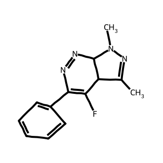 CC1=NN(C)C2N=NC(c3ccccc3)=C(F)C12